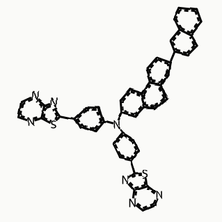 c1ccc2cc(-c3ccc4c(ccc5cc(N(c6ccc(-c7nc8nccnc8s7)cc6)c6ccc(-c7nc8nccnc8s7)cc6)ccc54)c3)ccc2c1